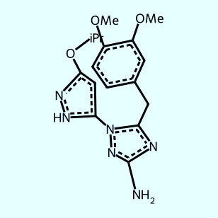 COc1ccc(Cc2nc(N)nn2-c2cc(OC(C)C)n[nH]2)cc1OC